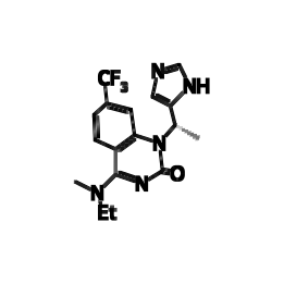 CCN(C)c1nc(=O)n([C@@H](C)c2cnc[nH]2)c2cc(C(F)(F)F)ccc12